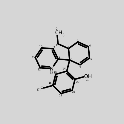 CCC1C=CC=CC1(c1ccccn1)c1cc(F)ccc1O